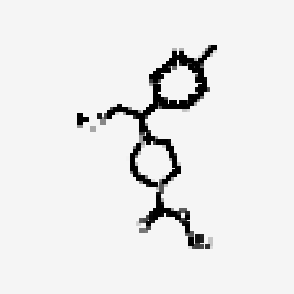 Cc1ccc(C(CN)N2CCN(C(=O)OC(C)(C)C)CC2)cn1